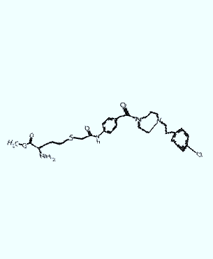 COC(=O)C(N)CCSCC(=O)Nc1ccc(C(=O)N2CCN(CCc3ccc(Cl)cc3)CC2)cc1